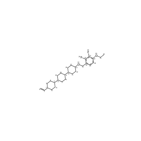 C=CC1CCC(C2CCC(C3CCC(OCc4ccc(OCC)c(F)c4F)CC3)CC2)CC1